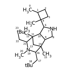 CC1CCC1(C)C1NCC2C1C1(C)CC2(C)C(CC(C)(C)C)N(C)C1CC(C)(C)C